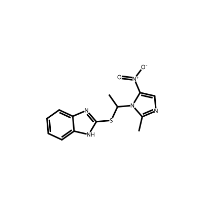 Cc1ncc([N+](=O)[O-])n1C(C)Sc1nc2ccccc2[nH]1